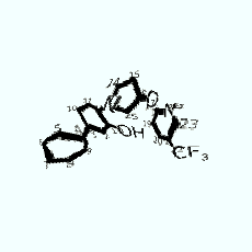 Oc1cc(-c2ccccc2)ccc1N1CCC(Oc2ccc(C(F)(F)F)cn2)C1